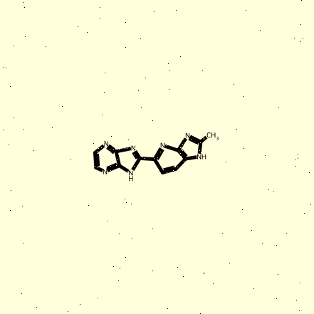 Cc1nc2nc(-c3nc4nccnc4[nH]3)ccc2[nH]1